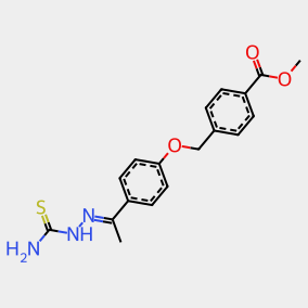 COC(=O)c1ccc(COc2ccc(/C(C)=N/NC(N)=S)cc2)cc1